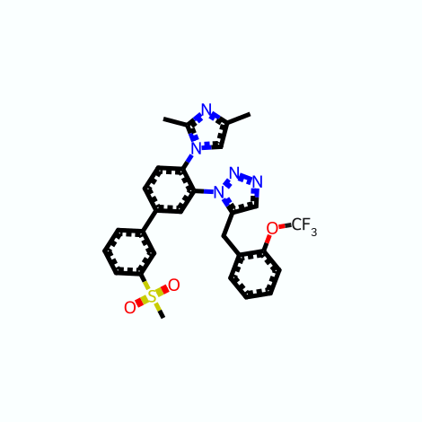 Cc1cn(-c2ccc(-c3cccc(S(C)(=O)=O)c3)cc2-n2nncc2Cc2ccccc2OC(F)(F)F)c(C)n1